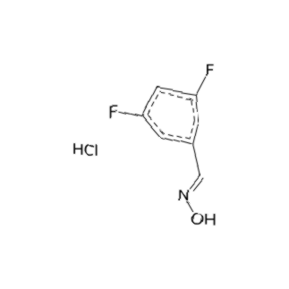 Cl.ON=Cc1cc(F)cc(F)c1